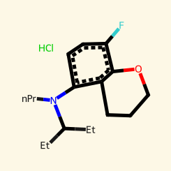 CCCN(c1ccc(F)c2c1CCCO2)C(CC)CC.Cl